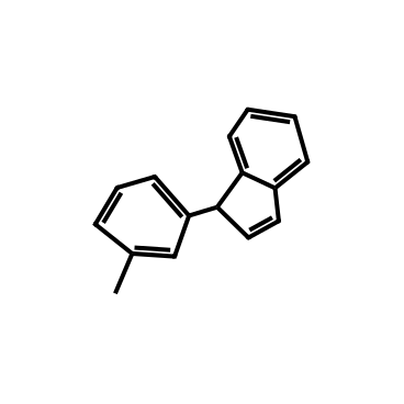 Cc1cccc([C]2C=Cc3ccccc32)c1